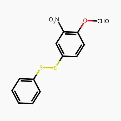 O=COc1ccc(SSc2ccccc2)cc1[N+](=O)[O-]